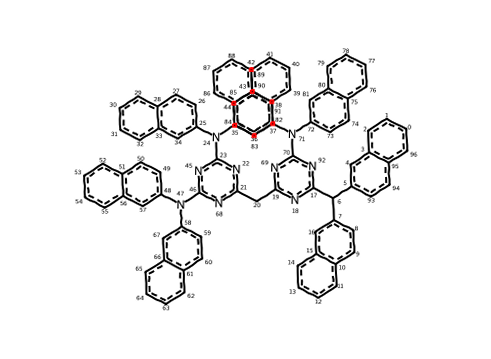 c1ccc2cc(C(c3ccc4ccccc4c3)c3nc(Cc4nc(N(c5ccc6ccccc6c5)c5ccc6ccccc6c5)nc(N(c5ccc6ccccc6c5)c5ccc6ccccc6c5)n4)nc(N(c4ccc5ccccc5c4)c4ccc5ccccc5c4)n3)ccc2c1